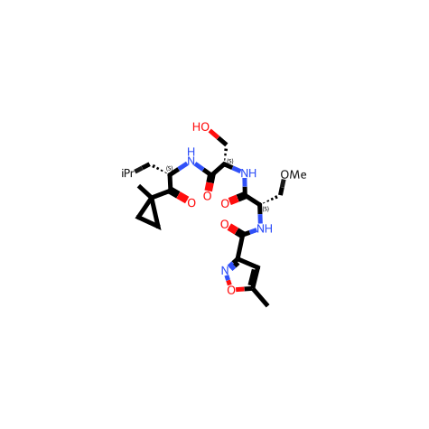 COC[C@H](NC(=O)c1cc(C)on1)C(=O)N[C@@H](CO)C(=O)N[C@@H](CC(C)C)C(=O)C1(C)CC1